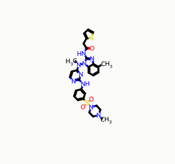 Cc1cccc2c1nc(NC(=O)Cc1cccs1)n2N(C)c1ccnc(Nc2cccc(S(=O)(=O)N3CCN(C)CC3)c2)n1